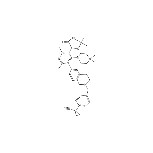 Cc1nc(C)c(C(OC(C)(C)C)C(=O)O)c(N2CCC(C)(C)CC2)c1-c1ccc2c(c1)CCN(Cc1ccc(C3(C#N)CC3)cc1)C2